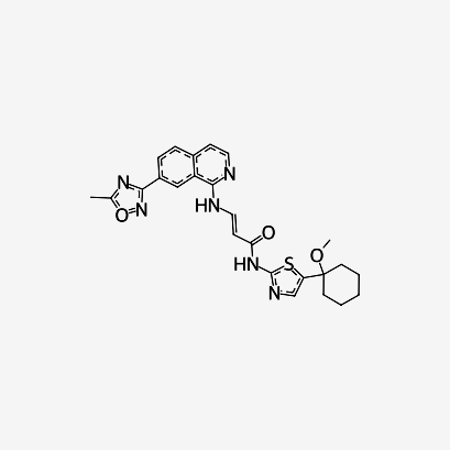 COC1(c2cnc(NC(=O)C=CNc3nccc4ccc(-c5noc(C)n5)cc34)s2)CCCCC1